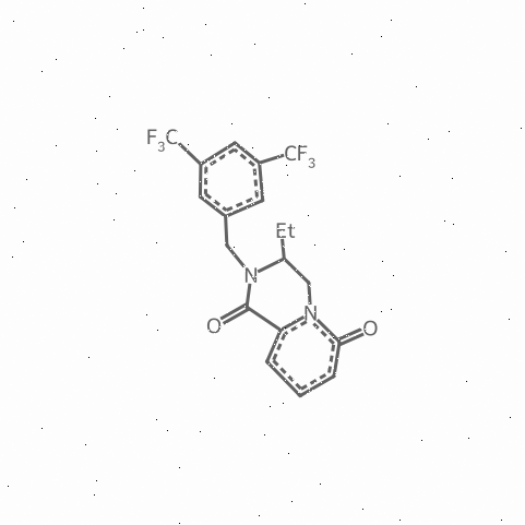 CCC1Cn2c(cccc2=O)C(=O)N1Cc1cc(C(F)(F)F)cc(C(F)(F)F)c1